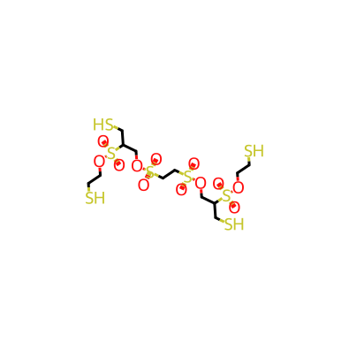 O=S(=O)(CCS(=O)(=O)OCC(CS)S(=O)(=O)OCCS)OCC(CS)S(=O)(=O)OCCS